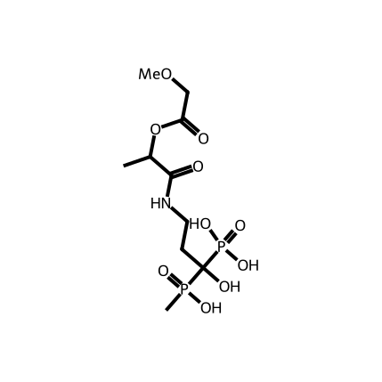 COCC(=O)OC(C)C(=O)NCCC(O)(P(C)(=O)O)P(=O)(O)O